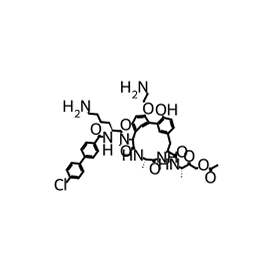 CC(=O)OCC(=O)[C@H](C)NC(=O)C1Cc2ccc(O)c(c2)-c2cc(ccc2OCCN)[C@H](N(C)C(=O)[C@H](CCCCN)NC(=O)c2ccc(-c3ccc(Cl)cc3)cc2)C(=O)N[C@@H](C)C(=O)N1